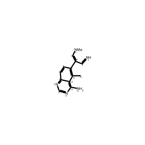 CN/C=C(\C=N)c1ccc2ncnc(N)c2c1C